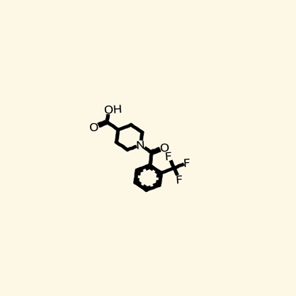 O=C(O)C1CCN(C(=O)c2ccccc2C(F)(F)F)CC1